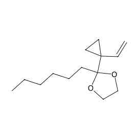 C=CC1(C2(CCCCCC)OCCO2)CC1